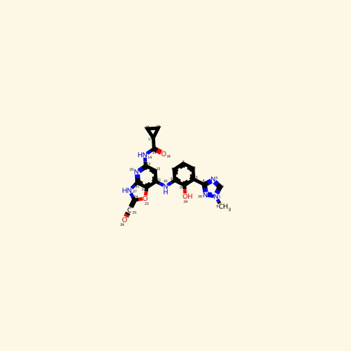 Cn1cnc(-c2cccc(Nc3cc(NC(=O)C4CC4)nc4c3OC(=C=O)N4)c2O)n1